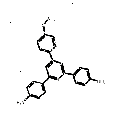 CSc1ccc(-c2cc(-c3ccc(N)cc3)nc(-c3ccc(N)cc3)c2)cc1